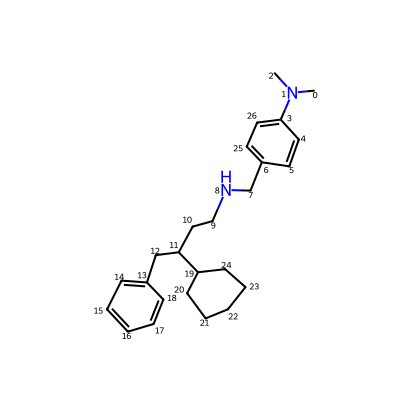 CN(C)c1ccc(CNCCC(Cc2ccccc2)C2CCCCC2)cc1